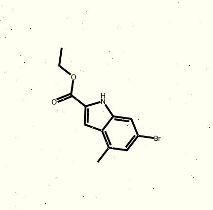 CCOC(=O)c1cc2c(C)cc(Br)cc2[nH]1